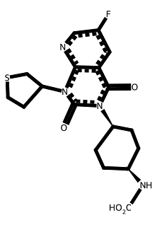 O=C(O)N[C@H]1CC[C@@H](n2c(=O)c3cc(F)cnc3n(C3CCSC3)c2=O)CC1